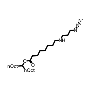 CCCCCCCCC(CCCCCCCC)OC(=O)CCCCCCCNCCCN=[N+]=[N-]